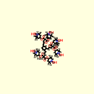 CCCCC(CCCc1ccc(CCCC(CCCC)(C(=O)OC2CC(C)(C)N(O)C(C)(C)C2)C(=O)OC2CC(C)(C)N(O)CC2(C)C)c(CCCC(CCCC)(C(=O)OC2CC(C)(C)N(O)C(C)(C)C2)C(=O)OC2CC(C)(C)N(O)C(C)(C)C2)c1)(C(=O)OC1CC(C)(C)N(O)C(C)(C)C1)C(=O)OC1CC(C)(C)N(O)C(C)(C)C1